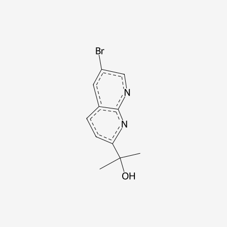 CC(C)(O)c1ccc2cc(Br)cnc2n1